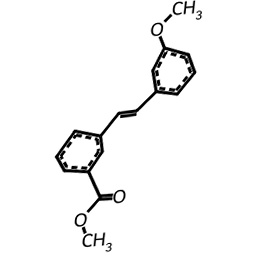 COC(=O)c1cccc(C=Cc2cccc(OC)c2)c1